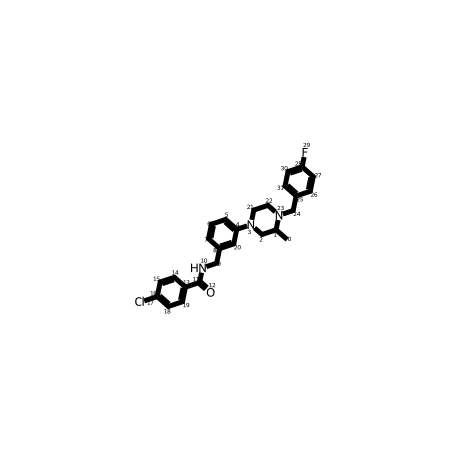 CC1CN(c2cccc(CNC(=O)c3ccc(Cl)cc3)c2)CCN1Cc1ccc(F)cc1